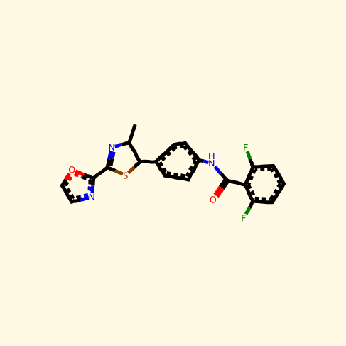 CC1N=C(c2ncco2)SC1c1ccc(NC(=O)c2c(F)cccc2F)cc1